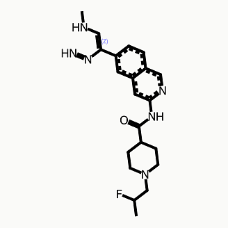 CN/C=C(\N=N)c1ccc2cnc(NC(=O)C3CCN(CC(C)F)CC3)cc2c1